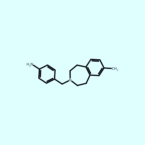 Cc1ccc2c(c1)CCN(Cc1ccc(N)cc1)CC2